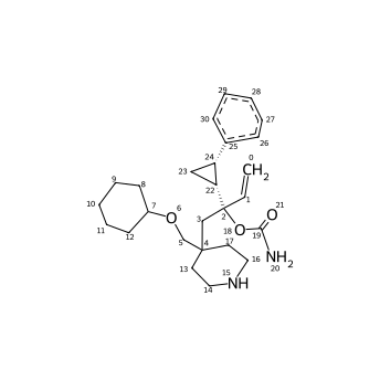 C=CC(CC1(COC2CCCCC2)CCNCC1)(OC(N)=O)[C@@H]1C[C@@H]1c1ccccc1